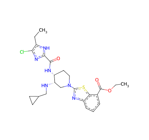 CCOC(=O)c1cccc2nc(N3CC[C@@H](NC(=O)c4nc(Cl)c(CC)[nH]4)[C@@H](NCC4CC4)C3)sc12